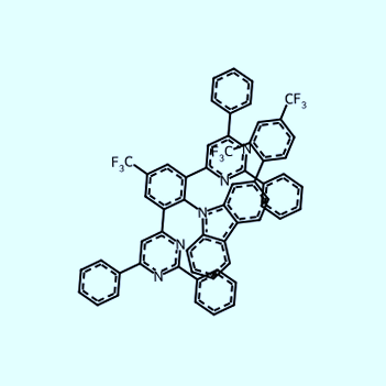 FC(F)(F)c1cc(-c2cc(-c3ccccc3)nc(-c3ccccc3)n2)c(-n2c3ccccc3c3ccc(-c4ccc(C(F)(F)F)cc4C(F)(F)F)cc32)c(-c2cc(-c3ccccc3)nc(-c3ccccc3)n2)c1